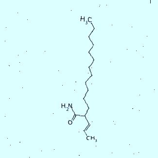 CC=CC(CCCCCCCCCCCC)C(N)=O